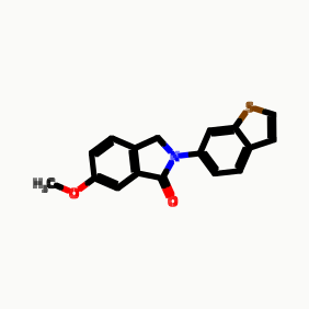 COc1ccc2c(c1)C(=O)N(c1ccc3ccsc3c1)C2